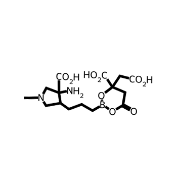 CN1CC(CCCB2OC(=O)CC(CC(=O)O)(C(=O)O)O2)C(N)(C(=O)O)C1